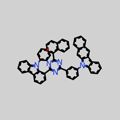 c1ccc(-n2c3ccccc3c3cccc(-c4nc(-c5cccc(-n6c7ccccc7c7cc8ccccc8cc76)c5)nc(-c5cccc6ccccc56)n4)c32)cc1